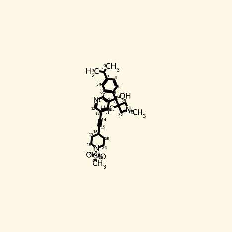 CC(C)c1ccc([C@](O)(c2cncc(C#CC3CCN(S(C)(=O)=O)CC3)c2)C2(C)CN(C)C2)cc1